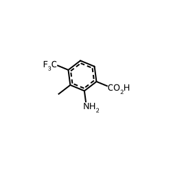 Cc1c(C(F)(F)F)ccc(C(=O)O)c1N